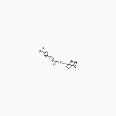 O=C(CCOCCc1cccc2c(=O)[nH]ncc12)N1CCN(c2ccc(C(F)F)cn2)CC1